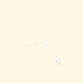 C=C(F)\C=C/C(=C\C)/C=C/c1ccc(-c2ccc(N(c3ccc(-c4ccc(/C=C/c5ccc(F)cc5)cc4F)c(F)c3)c3ccc(-c4ccc(/C=C/c5ccc(F)cc5)cc4F)c(F)c3)cc2F)c(F)c1